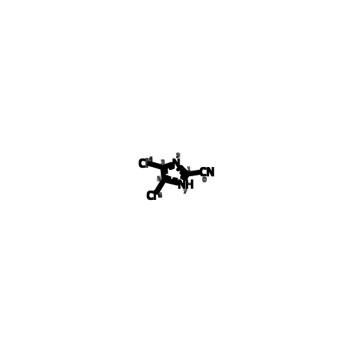 N#Cc1nc(Cl)c(Cl)[nH]1